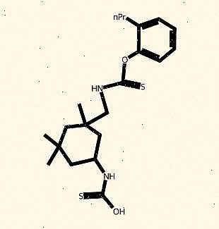 CCCc1ccccc1OC(=S)NCC1(C)CC(NC(O)=S)CC(C)(C)C1